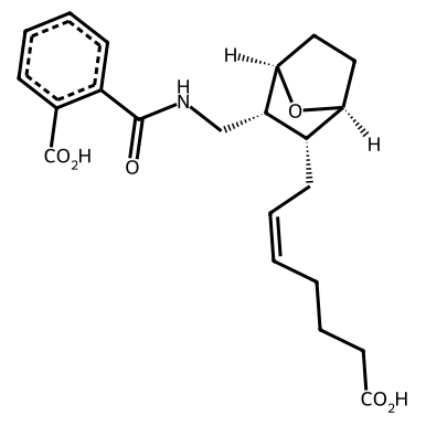 O=C(O)CCC/C=C\C[C@@H]1[C@H](CNC(=O)c2ccccc2C(=O)O)[C@H]2CC[C@@H]1O2